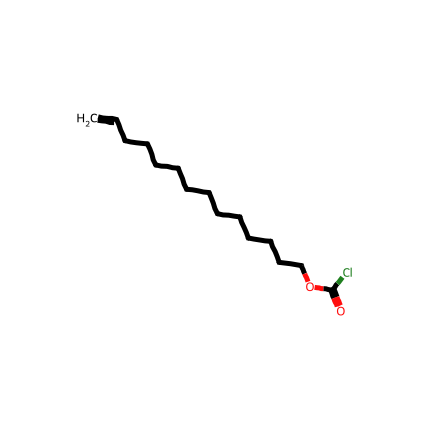 C=CCCCCCCCCCCCCOC(=O)Cl